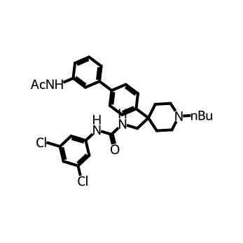 CCCCN1CCC(CNC(=O)Nc2cc(Cl)cc(Cl)c2)(c2ccc(-c3cccc(NC(C)=O)c3)cc2)CC1